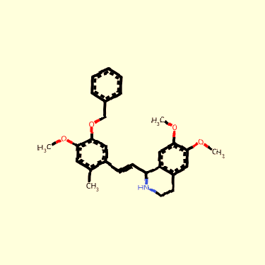 COc1cc2c(cc1OC)C(C=Cc1cc(OCc3ccccc3)c(OC)cc1C)NCC2